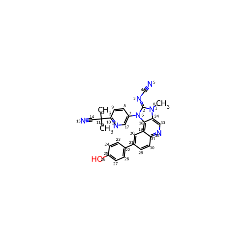 Cn1c(=NC#N)n(-c2ccc(C(C)(C)C#N)nc2)c2c3cc(-c4ccc(O)cc4)ccc3ncc21